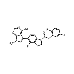 Cn1cc(-c2ccc3c(c2F)CCN3C(=O)Cc2cc(F)ccc2F)c2c(N)ncnc21